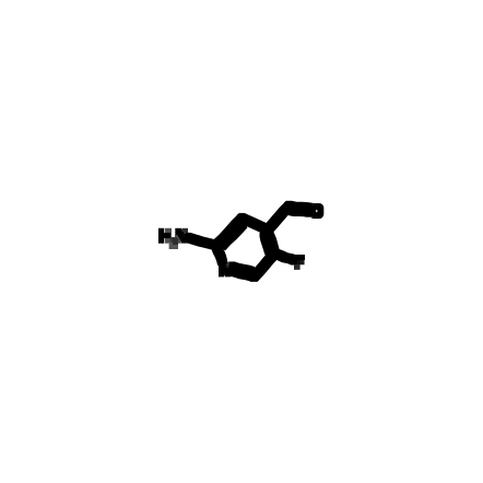 Nc1cc(C=O)c(F)cn1